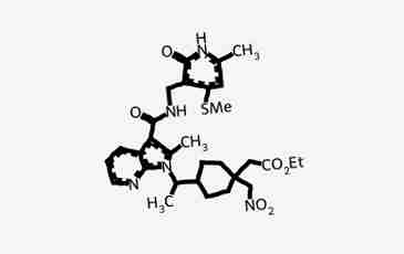 CCOC(=O)CC1(C[N+](=O)[O-])CCC(C(C)n2c(C)c(C(=O)NCc3c(SC)cc(C)[nH]c3=O)c3cccnc32)CC1